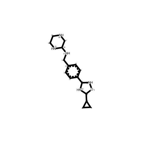 c1cc(C2NOC(C3CC3)N2)ccc1CNC1CNCCN1